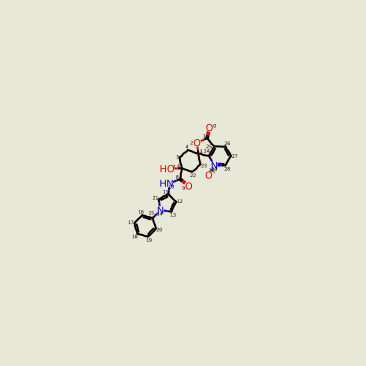 O=C1OC2(CCC(O)(C(=O)Nc3ccn(-c4ccccc4)c3)CC2)c2c1ccc[n+]2[O-]